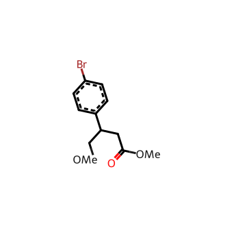 COCC(CC(=O)OC)c1ccc(Br)cc1